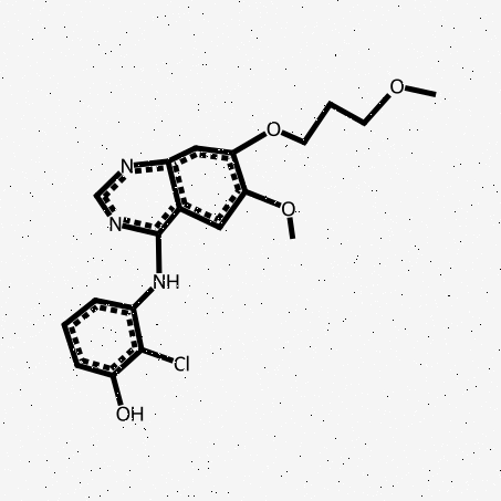 COCCCOc1cc2ncnc(Nc3cccc(O)c3Cl)c2cc1OC